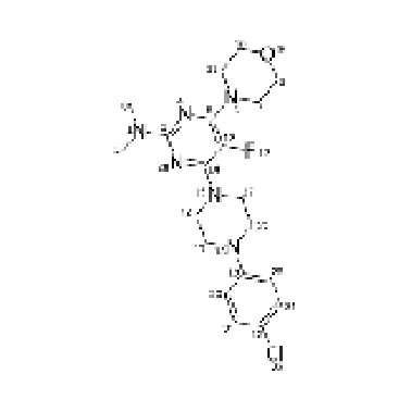 CN(C)c1nc(N2CCOCC2)c(F)c(N2CCN(c3ccc(Cl)cc3)CC2)n1